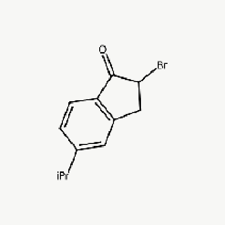 CC(C)c1ccc2c(c1)CC(Br)C2=O